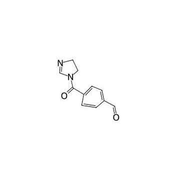 O=Cc1ccc(C(=O)N2C=NCC2)cc1